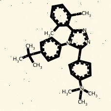 Cc1cccc(C)c1-c1nnc(-c2ccc([Si](C)(C)C)cc2)n1-c1ccc(C(C)(C)C)cc1